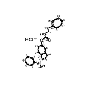 CCCN(c1ccncc1)n1ccc2cc(OC(=O)NCCc3ccccc3)ccc21.Cl